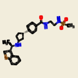 C[C@@H](NC1CC[C@H](c2ccc(C(=O)NCCNS(C)(=O)=O)cc2)C1)c1csc2ccccc12